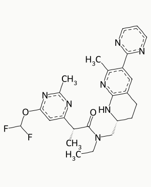 CCN(C[C@H]1CCc2cc(-c3ncccn3)c(C)nc2N1)C(=O)[C@H](C)c1cc(OC(F)F)nc(C)n1